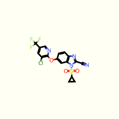 N#Cc1nc2ccc(Oc3ncc(C(F)(F)F)cc3Cl)cc2n1S(=O)(=O)C1CC1